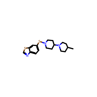 CC1CCN(C2CCN(Sc3ccc4ncsc4c3)CC2)CC1